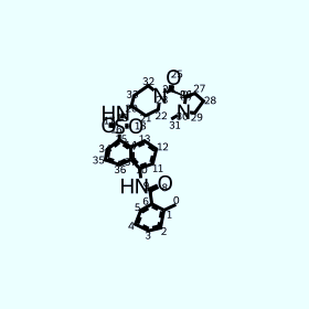 Cc1ccccc1C(=O)Nc1cccc2c(S(=O)(=O)NC3CCN(C(=O)[C@H]4CCCN4C)CC3)cccc12